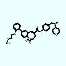 CCCOCCOc1ccccc1-c1ccc2c(c1)C=C(C(=O)Nc1ccc(CN(C)C3CCOCC3)cc1)CCS2(=O)=O